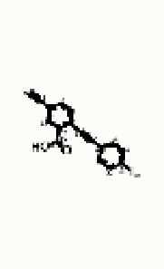 C#Cc1ccc(C#Cc2ccc(I)cc2)c(C(=O)O)c1